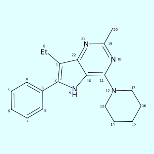 CCc1c(-c2ccccc2)[nH]c2c(N3CCCCC3)nc(C)nc12